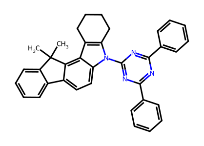 CC1(C)c2ccccc2-c2ccc3c(c4c(n3-c3nc(-c5ccccc5)nc(-c5ccccc5)n3)CCCC4)c21